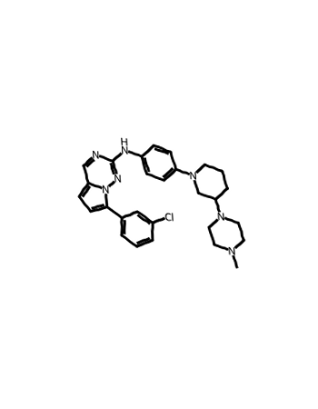 CN1CCN(C2CCCN(c3ccc(Nc4ncc5ccc(-c6cccc(Cl)c6)n5n4)cc3)C2)CC1